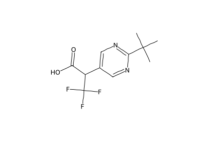 CC(C)(C)c1ncc(C(C(=O)O)C(F)(F)F)cn1